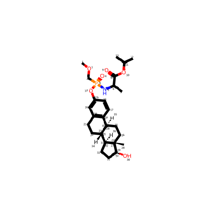 COCP(=O)(NC(C)C(=O)OC(C)C)Oc1ccc2c(c1)CC[C@@H]1[C@@H]2CC[C@]2(C)[C@@H](O)CC[C@@H]12